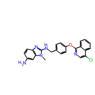 Cn1c(NCc2ccc(Oc3ncc(Cl)c4ccccc34)cc2)nc2ccc(N)cc21